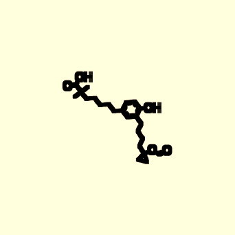 CC(C)(CCCCCc1ccc(O)c(CCCCC2(OC=O)CC2)c1)C(=O)O